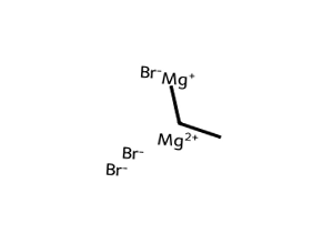 C[CH2][Mg+].[Br-].[Br-].[Br-].[Mg+2]